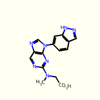 CN(CC(=O)O)c1ncc2ncn(-c3ccc4cn[nH]c4c3)c2n1